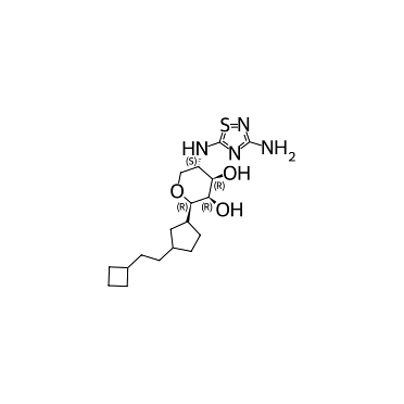 Nc1nsc(N[C@H]2CO[C@H](C3CCC(CCC4CCC4)C3)[C@H](O)[C@@H]2O)n1